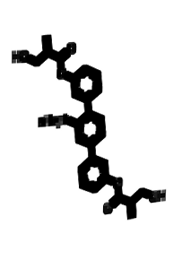 C=C(CO)C(=O)Oc1cccc(-c2ccc(-c3cccc(OC(=O)C(=C)CO)c3)c(CCCCCCC)c2)c1